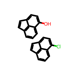 Clc1ccc2c3c(cccc13)C=C2.Oc1ccc2c3c(cccc13)C=C2